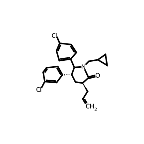 C=CC[C@H]1C[C@H](c2cccc(Cl)c2)C(c2ccc(Cl)cc2)N(CC2CC2)C1=O